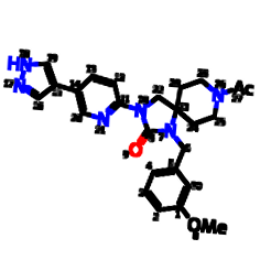 COc1cccc(CN2C(=O)N(c3ccc(-c4cn[nH]c4)cn3)CC23CCN(C(C)=O)CC3)c1